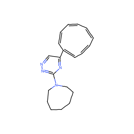 c1ccccc(-c2cnnc(N3CCCCCCC3)n2)cccc1